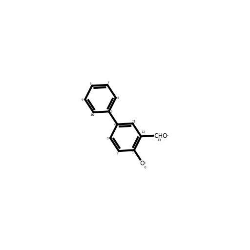 [O]c1ccc(-c2ccccc2)cc1[C]=O